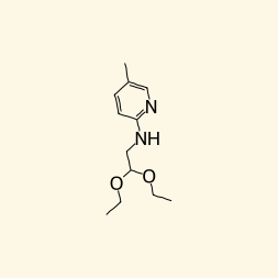 CCOC(CNc1ccc(C)cn1)OCC